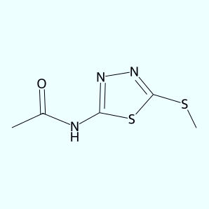 CSc1nnc(NC(C)=O)s1